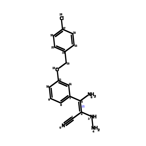 N#C/C(NN)=C(/N)c1cccc(OCc2ccc(Cl)cc2)c1